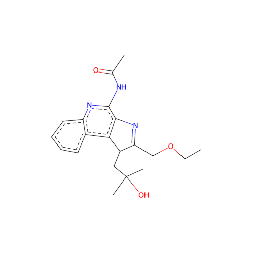 CCOCC1=Nc2c(NC(C)=O)nc3ccccc3c2C1CC(C)(C)O